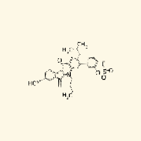 C#Cc1ccc2c(c1)[nH]c1c2c(=O)c2cc(CC(C)C)c(-c3cccc(OS(=O)(=O)F)c3)cc2n1CCCC